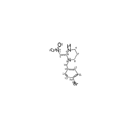 O=[N+]([O-])C=C1NCCCN1Cc1ccc(Br)cc1